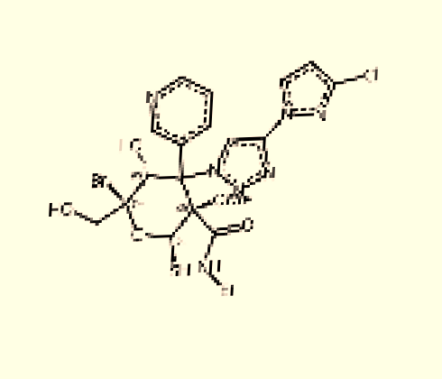 CCNC(=O)[C@]1(OC)[C@@H](S)O[C@](Br)(CO)[C@H](O)C1(c1cccnc1)n1cc(-n2ccc(Cl)n2)nn1